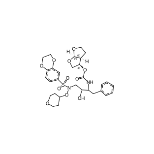 O=C(NC(Cc1ccccc1)C(O)CN(OC1CCOCC1)S(=O)(=O)c1ccc2c(c1)OCCO2)O[C@H]1CO[C@H]2OCC[C@H]21